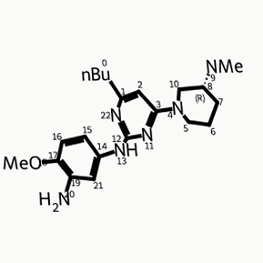 CCCCc1cc(N2CCC[C@@H](NC)C2)nc(Nc2ccc(OC)c(N)c2)n1